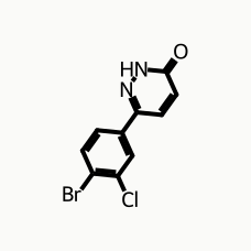 O=c1ccc(-c2ccc(Br)c(Cl)c2)n[nH]1